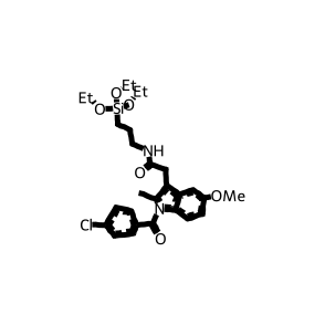 CCO[Si](CCCNC(=O)Cc1c(C)n(C(=O)c2ccc(Cl)cc2)c2ccc(OC)cc12)(OCC)OCC